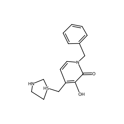 O=c1c(O)c(C[SH]2CCNC2)ccn1Cc1ccccc1